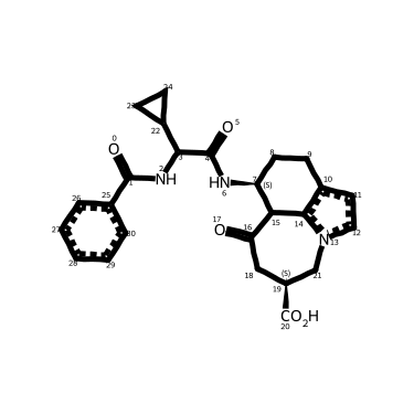 O=C(NC(C(=O)N[C@H]1CCc2ccn3c2C1C(=O)C[C@H](C(=O)O)C3)C1CC1)c1ccccc1